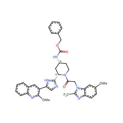 COc1ccc2nc(C(F)(F)F)n(CC(=O)N3CC[C@@H](NC(=O)OCc4ccccc4)C[C@H]3c3ncc(-c4cc5ccccc5nc4OC)[nH]3)c2c1